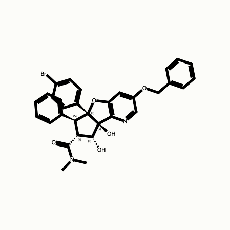 CN(C)C(=O)[C@H]1[C@@H](O)[C@@]2(O)c3ncc(OCc4ccccc4)cc3O[C@@]2(c2ccc(Br)cc2)[C@@H]1c1ccccc1